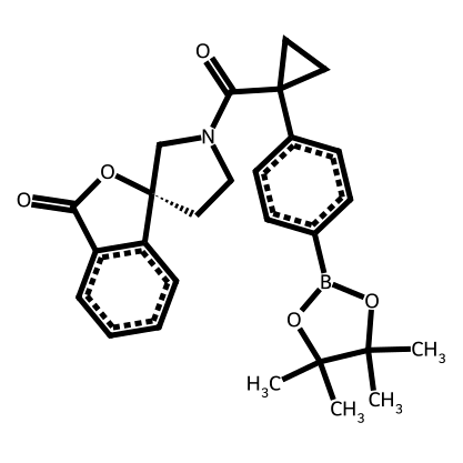 CC1(C)OB(c2ccc(C3(C(=O)N4CC[C@@]5(C4)OC(=O)c4ccccc45)CC3)cc2)OC1(C)C